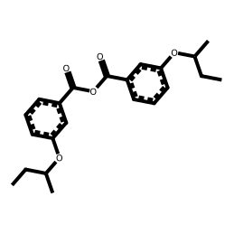 CCC(C)Oc1cccc(C(=O)OC(=O)c2cccc(OC(C)CC)c2)c1